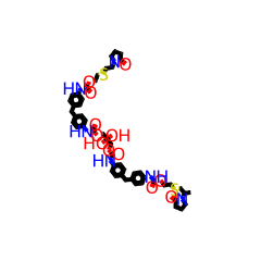 CC(CSCCOC(=O)Nc1ccc(Cc2ccc(NC(=O)OCC(O)(O)COC(=O)Nc3ccc(Cc4ccc(NC(=O)OCCSCCN5CCCC5=O)cc4)cc3)cc2)cc1)N1CCCC1=O